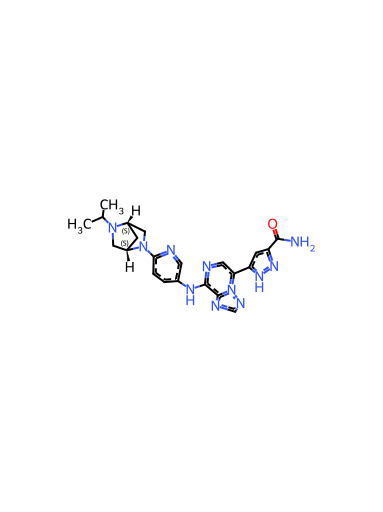 CC(C)N1C[C@@H]2C[C@H]1CN2c1ccc(Nc2ncc(-c3cc(C(N)=O)n[nH]3)n3ncnc23)cn1